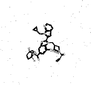 C#CC(=O)N1CC(Cn2c(-c3cc4cccnc4n3CC3CC3)nc3cc(C(=O)N4C[C@H]5CC[C@@H]4[C@@H]5N)cc(OC)c32)C1